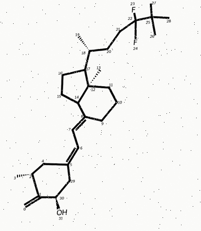 C=C1[C@H](C)C/C(=C\C=C2/CCC[C@@]3(C)C2CCC3[C@H](C)CCC(F)(F)C(C)(C)C)C[C@H]1O